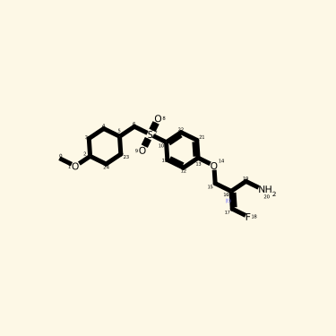 COC1CCC(CS(=O)(=O)c2ccc(OC/C(=C/F)CN)cc2)CC1